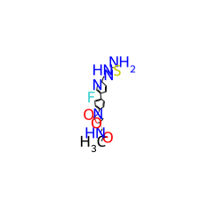 CC(=O)NC[C@H]1CN(c2ccc(-c3ccc(C=NNC(N)=S)nc3)c(F)c2)C(=O)O1